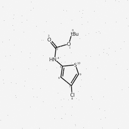 CC(C)(C)OC(=O)Nc1cc(Cl)cs1